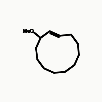 COC1/C=C/CCCCCCCCC1